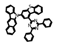 c1ccc(-c2nc(-c3ccccc3)nc(-c3cc(-n4c5ccccc5c5cc6ccccc6cc54)cc4sc5ccccc5c34)n2)cc1